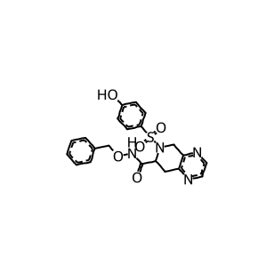 O=C(NOCc1ccccc1)C1Cc2nccnc2CN1S(=O)(=O)c1ccc(O)cc1